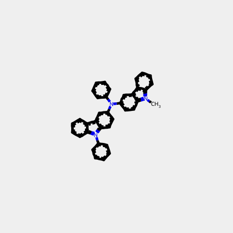 Cn1c2ccccc2c2cc(N(c3ccccc3)c3ccc4c(c3)c3ccccc3n4-c3ccccc3)ccc21